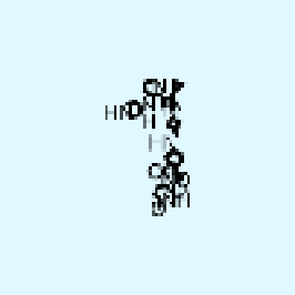 O=C1CCC(N2C(=O)c3ccc(NCC4CC(n5cc(-c6ncccc6NC6CCNCC6)c(C6CC6)n5)C4)cc3C2=O)C(=O)N1